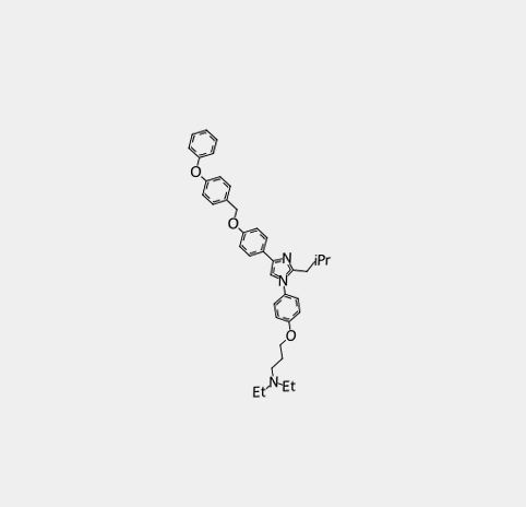 CCN(CC)CCCOc1ccc(-n2cc(-c3ccc(OCc4ccc(Oc5ccccc5)cc4)cc3)nc2CC(C)C)cc1